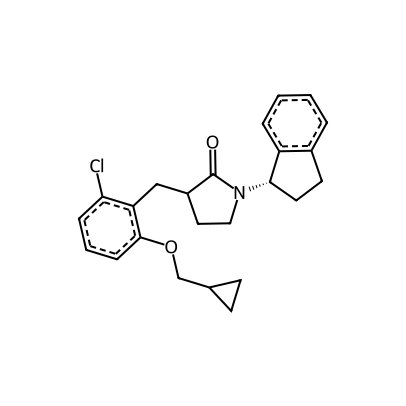 O=C1C(Cc2c(Cl)cccc2OCC2CC2)CCN1[C@H]1CCc2ccccc21